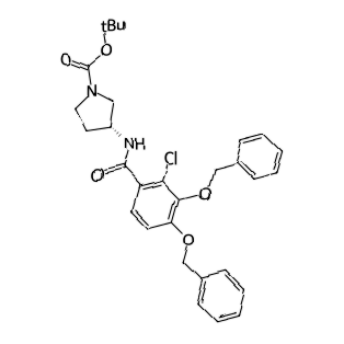 CC(C)(C)OC(=O)N1CC[C@@H](NC(=O)c2ccc(OCc3ccccc3)c(OCc3ccccc3)c2Cl)C1